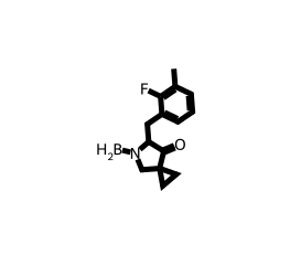 BN1CC2(CC2)C(=O)C1Cc1cccc(C)c1F